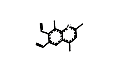 C=Cc1cc2c(C)cc(C)nc2c(C)c1C=C